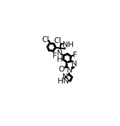 O=c1c2cc(NC3(c4c(F)ccc(Cl)c4Cl)CNC3)cc(F)c2ncn1-c1cc[nH]n1